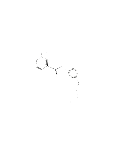 CCNCc1ncc(CC(C)C2=CC(C)CC=C2)s1